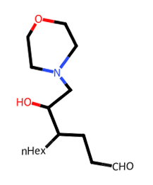 CCCCCCC(CCC=O)C(O)CN1CCOCC1